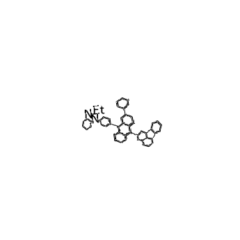 CCc1nc2ccccc2n1-c1ccc(-c2c3ccccc3c(-c3cc4c5c(cccc5c3)-c3ccccc3-4)c3ccc(-c4ccccc4)cc23)cc1